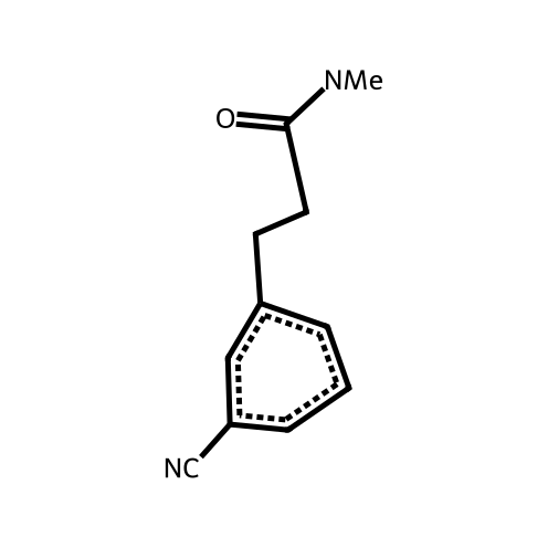 CNC(=O)CCc1cccc(C#N)c1